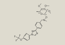 CO[C@@H]1[C@H](OC)[C@H](ON(C)Cc2ccc(-c3ncn(-c4ccc(OC(F)(F)F)cc4)n3)cc2)O[C@@H](C)[C@@H]1OC